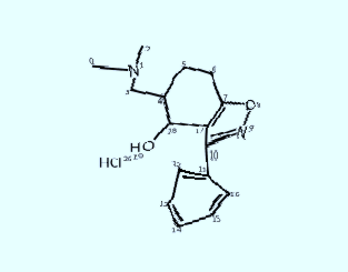 CN(C)CC1CCc2onc(-c3ccccc3)c2C1O.Cl